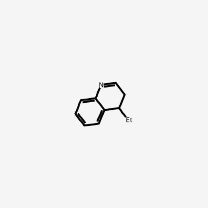 CCC1CC=Nc2ccccc21